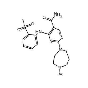 CC(=O)N1CCCN(c2ncc(C(N)=O)c(Nc3ccccc3S(C)(=O)=O)n2)CC1